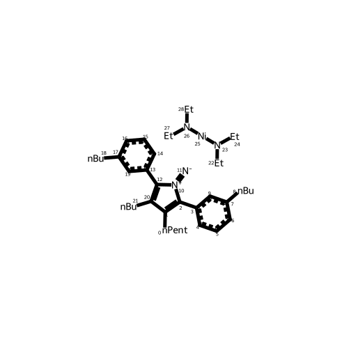 CCCCCC1=C(c2cccc(CCCC)c2)[N+](=[N-])C(c2cccc(CCCC)c2)=C1CCCC.CC[N](CC)[Ni][N](CC)CC